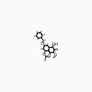 COc1c(C)c(O)c2cc(OCc3ccccc3)ccc2c1OC(C)=O